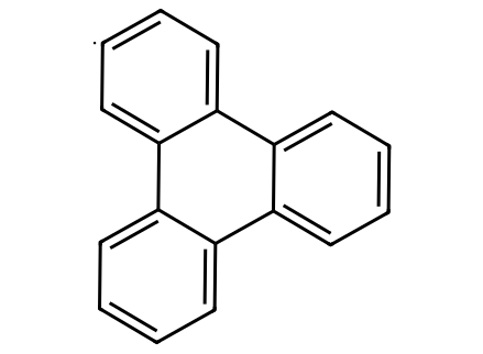 [c]1ccc2c(c1)c1ccccc1c1ccccc21